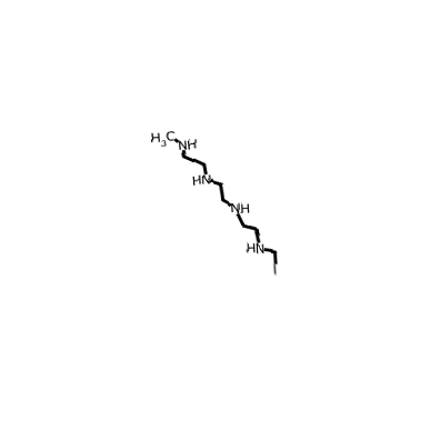 CNCCNCCNCCNCI